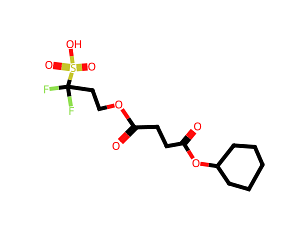 O=C(CCC(=O)OC1CCCCC1)OCCC(F)(F)S(=O)(=O)O